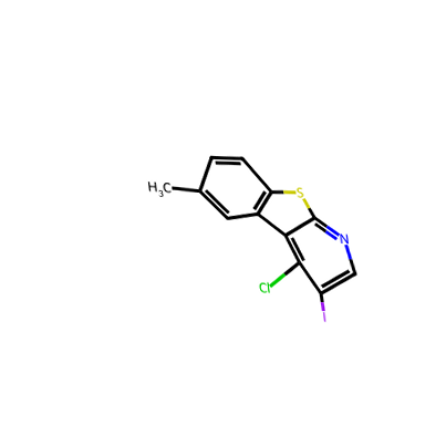 Cc1ccc2sc3ncc(I)c(Cl)c3c2c1